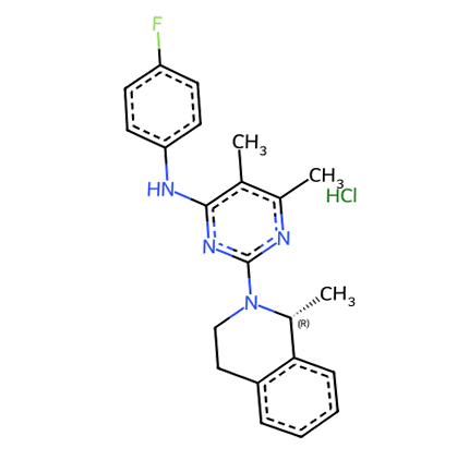 Cc1nc(N2CCc3ccccc3[C@H]2C)nc(Nc2ccc(F)cc2)c1C.Cl